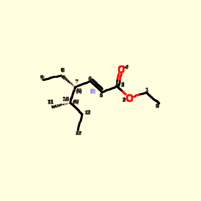 CCOC(=O)/C=C/[C@@H](CC)[C@@H](C)CC